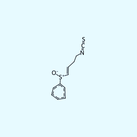 [O-][S+](/C=C/CCN=C=S)c1ccccc1